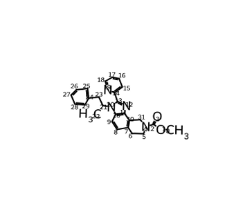 COC(=O)N1CCc2ccc3c(nc(-c4ccccn4)n3[C@H](C)Cc3ccccc3)c2C1